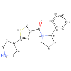 O=C(C1C=C(C2CCNCC2)SC1)N1CCCC1c1ccccc1